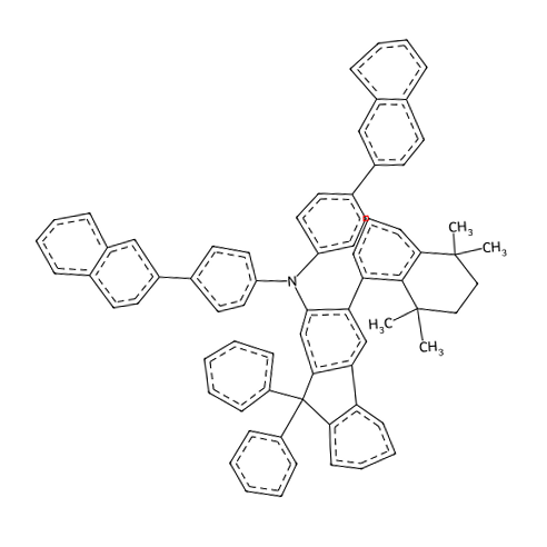 CC1(C)CCC(C)(C)c2c(-c3cc4c(cc3N(c3ccc(-c5ccc6ccccc6c5)cc3)c3ccc(-c5ccc6ccccc6c5)cc3)C(c3ccccc3)(c3ccccc3)c3ccccc3-4)cccc21